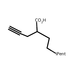 C#CCC(CCC(C)CCC)C(=O)O